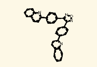 c1ccc2nc(-c3ccc(-c4nonc4-c4ccc(-c5ccc6ccccc6n5)cc4)cc3)ccc2c1